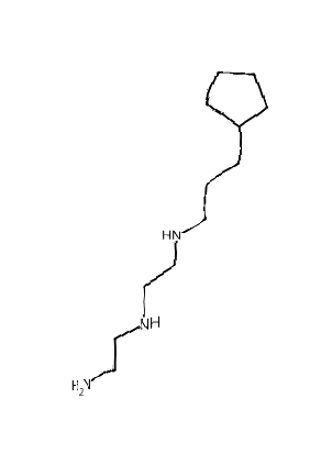 NCCNCCNCCCC1CCCC1